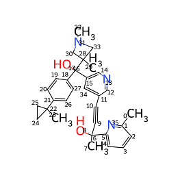 Cc1cccc(C(C)(O)C#Cc2cncc(C(O)(c3ccc(C4(C)CC4)cc3)C3(C)CN(C)C3)c2)n1